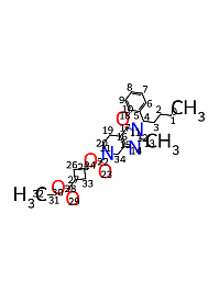 CCCCC(c1ccccc1)n1c(C)nc2c(c1=O)CCN(C(=O)OC1CC(C(=O)OCC)C1)C2